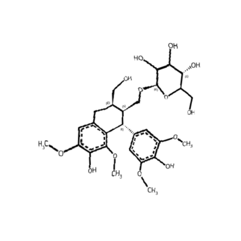 COc1cc([C@@H]2c3c(cc(OC)c(O)c3OC)C[C@@H](CO)[C@H]2CO[C@@H]2OC(CO)[C@@H](O)C(O)C2O)cc(OC)c1O